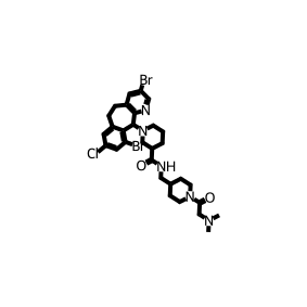 CN(C)CC(=O)N1CCC(CNC(=O)C2CCCN(C3c4ncc(Br)cc4CCc4cc(Cl)cc(Br)c43)C2)CC1